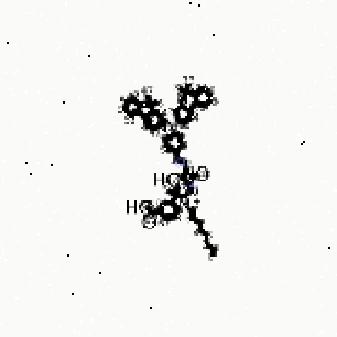 CCCCCCCC[N+]1=C(/C=C2/C(=O)C(/C=C/c3ccc(N(c4ccc(-c5ccccc5C(C)(C)C)c(C)c4)c4ccc5c(c4)C(C)(C)c4ccccc4-5)cc3)=C2O)C(C)(C)c2cc(C(=O)O)ccc21